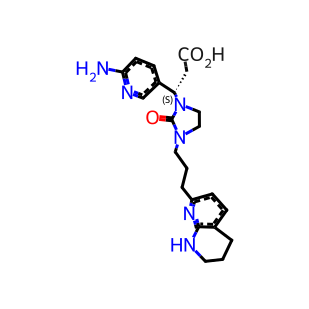 Nc1ccc([C@H](CC(=O)O)N2CCN(CCCc3ccc4c(n3)NCCC4)C2=O)cn1